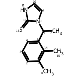 Cc1cccc(C(C)n2cc[nH]c2=S)c1C